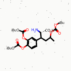 CCC(C)OC(=O)OC(C)CC(c1ccc(OC(=O)OCC(C)C)c(OC(=O)OCC(C)C)c1)[C@H](N)C(=O)O